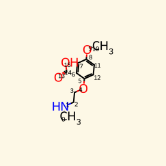 CNCCOc1ccc(OC)cc1.O=CO